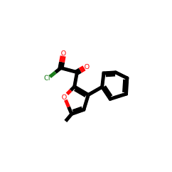 Cc1cc(-c2ccccc2)c(C(=O)C(=O)Cl)o1